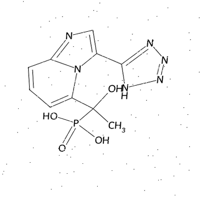 CC(O)(c1cccc2ncc(-c3nnn[nH]3)n12)P(=O)(O)O